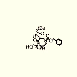 CC(C)(C)OC(=O)N[C@H]1CN(C(=O)OCc2ccccc2)CC[C@H]2CC[C@@H](CO)N2C1=O